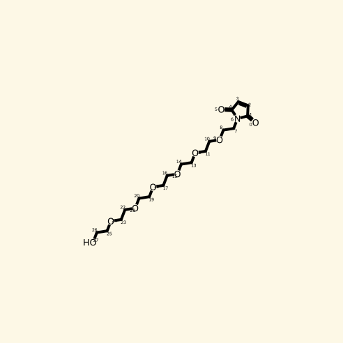 O=C1C=CC(=O)N1CCOCCOCCOCCOCCOCCOCCO